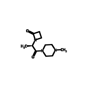 C[C@H](C(=O)N1CCN(C)CC1)N1CCC1=O